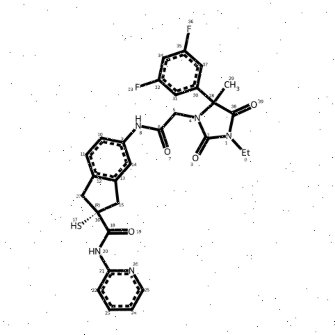 CCN1C(=O)N(CC(=O)Nc2ccc3c(c2)C[C@@](S)(C(=O)Nc2ccccn2)C3)C(C)(c2cc(F)cc(F)c2)C1=O